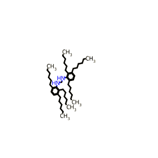 CCCCCCc1ccc(CCCCCC)c(NCNc2c(CCCCCC)ccc(CCCCCC)c2CCCCCC)c1CCCCCC